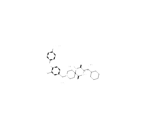 CCCCN1C(=O)[C@@H]([C@H](O)C2CCCCC2)NC(=O)C12CCN(Cc1ccc(Oc3ccc(C(=O)O)cc3)c(Cl)c1)CC2.Cl